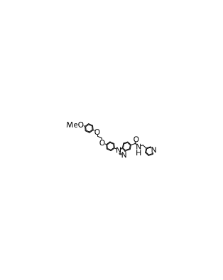 COc1ccc(OCCOc2ccc(-n3cnc4cc(C(=O)NCc5cccnc5)ccc43)cc2)cc1